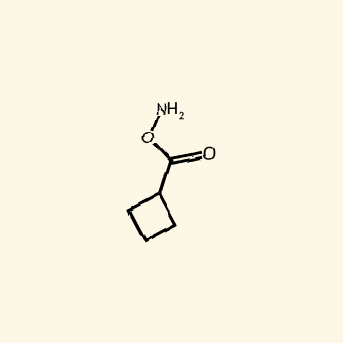 NOC(=O)C1CCC1